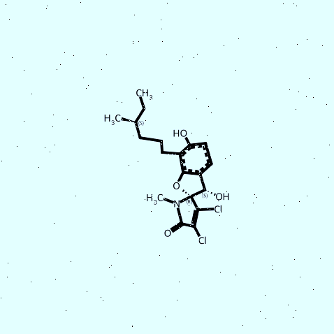 CC[C@H](C)CCCc1c(O)ccc2c1O[C@@]1(C(Cl)=C(Cl)C(=O)N1C)[C@H]2O